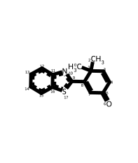 CC1(C)C=CC(=O)C=C1c1nc2ccccc2s1